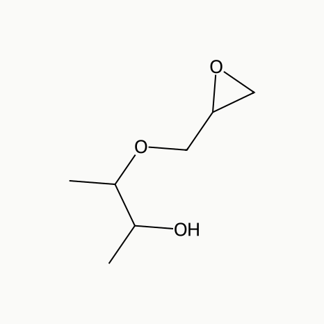 CC(O)C(C)OCC1CO1